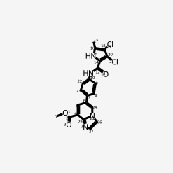 COC(=O)c1cc(-c2ccc(NC(=O)c3[nH]c(C)c(Cl)c3Cl)cc2)cn2ccnc12